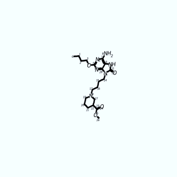 CCCCOc1nc(N)c2[nH]c(=O)n(CCCCN3CCCC(C(=O)OC)C3)c2n1